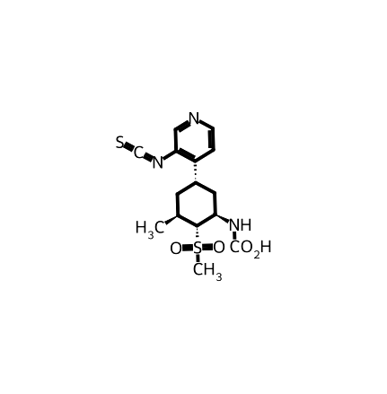 C[C@H]1C[C@H](c2ccncc2N=C=S)C[C@@H](NC(=O)O)[C@@H]1S(C)(=O)=O